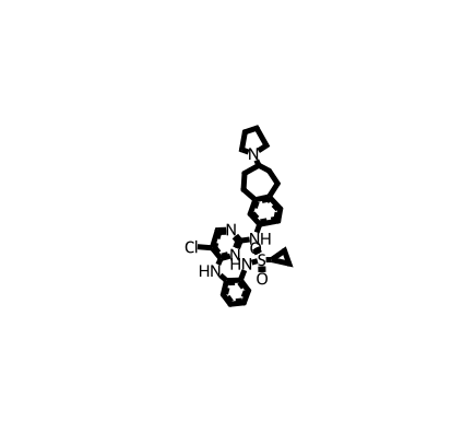 O=S(=O)(Nc1ccccc1Nc1nc(Nc2ccc3c(c2)CCC(N2CCCC2)CC3)ncc1Cl)C1CC1